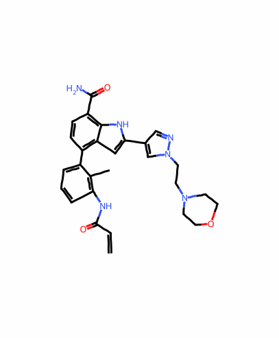 C=CC(=O)Nc1cccc(-c2ccc(C(N)=O)c3[nH]c(-c4cnn(CCN5CCOCC5)c4)cc23)c1C